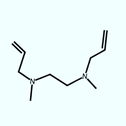 C=CCN(C)CCN(C)CC=C